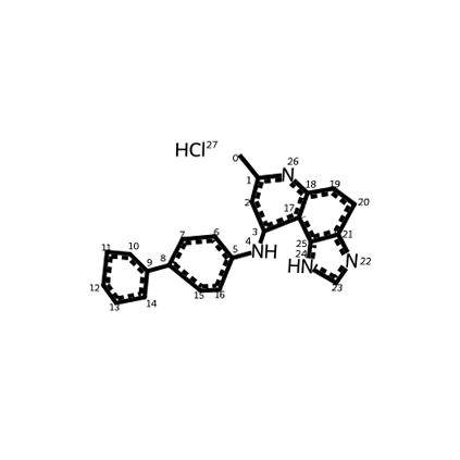 Cc1cc(Nc2ccc(-c3ccccc3)cc2)c2c(ccc3nc[nH]c32)n1.Cl